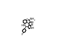 NC(=O)c1nnc2[nH]cc3c2c1-c1ccccc1NC3c1ccc(F)cc1